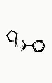 O=C(CC1(C(=O)O)CCCC1)c1ccccn1